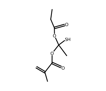 C=C(C)C(=O)OC(C)(S)OC(=O)CC